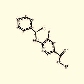 CC[C@@H](Nc1ncc(C(=O)NO)cc1F)c1ccccc1